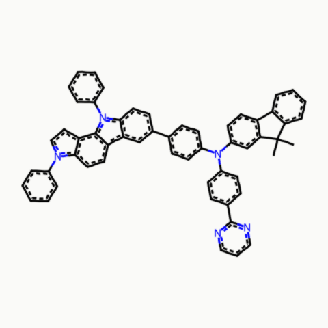 CC1(C)c2ccccc2-c2ccc(N(c3ccc(-c4ccc5c(c4)c4ccc6c(ccn6-c6ccccc6)c4n5-c4ccccc4)cc3)c3ccc(-c4ncccn4)cc3)cc21